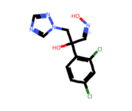 O/N=C\C(O)(Cn1cncn1)c1ccc(Cl)cc1Cl